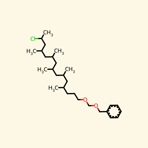 CC(Cl)CC(C)CC(C)CC(C)CC(C)CC(C)CCCOCOCc1ccccc1